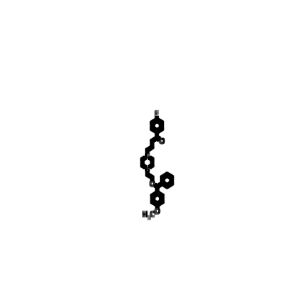 COc1ccc(C(OCCN2CCN(CCCC(=O)c3ccc(F)cc3)CC2)c2ccccc2)cc1